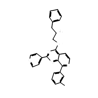 N[C@H](CNc1nc(-c2ccncc2)nc2c(-c3cccc(Cl)c3)nccc12)Cc1ccccc1